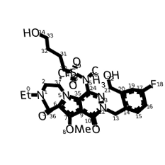 CCN1C[C@H](C)n2c(c(OC)c3c(=O)n(Cc4ccc(F)cc4CO)nc(N(C)S(=O)(=O)CCCCO)c32)C1=O